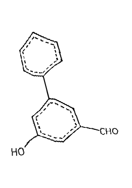 O=Cc1cc(O)cc(-c2ccccc2)c1